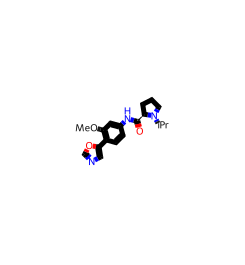 COc1cc(NC(=O)[C@@H]2CCCN2C(C)C)ccc1-c1cnco1